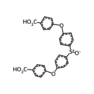 O=C(O)c1ccc(Oc2ccc([S+]([O-])c3ccc(Oc4ccc(C(=O)O)cc4)cc3)cc2)cc1